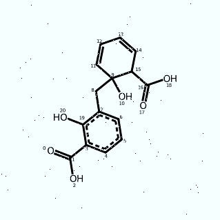 O=C(O)c1cccc(CC2(O)C=CC=CC2C(=O)O)c1O